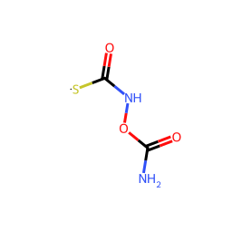 NC(=O)ONC(=O)[S]